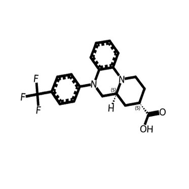 O=C(O)[C@H]1CCN2c3ccccc3N(c3ccc(C(F)(F)F)cc3)C[C@@H]2C1